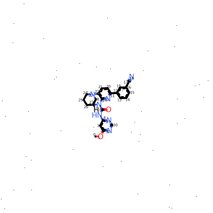 COc1cc(NC(=O)N2c3nc(-c4cccc(C#N)c4)ccc3N3CCC[C@@H]2C3)ncn1